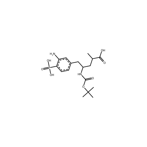 CC(CC(Cc1ccc(P(=O)(O)O)c(N)c1)NC(=O)OC(C)(C)C)C(=O)O